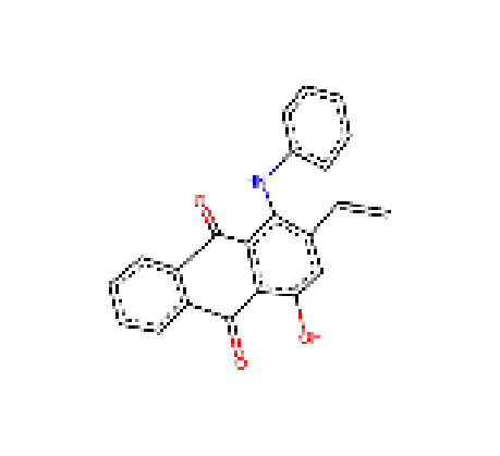 C=Cc1cc(O)c2c(c1Nc1ccccc1)C(=O)c1ccccc1C2=O